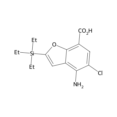 CC[Si](CC)(CC)c1cc2c(N)c(Cl)cc(C(=O)O)c2o1